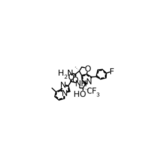 Cc1cccn2cc(C(=O)NC[C@](O)(c3cc4c(c(-c5ccc(F)cc5)n3)OC[C@]4(C)C(N)=O)C(F)(F)F)nc12